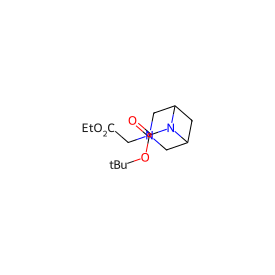 CCOC(=O)CN1CC2CC(C1)N2C(=O)OC(C)(C)C